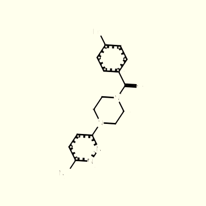 CC(C)c1ccc(C(=O)N2CCN(c3ccc(C#N)nn3)CC2)cc1